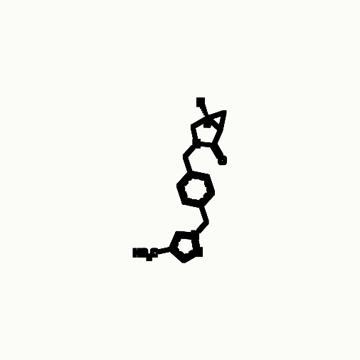 O=C(O)c1cnn(Cc2ccc(CN3C[C@H]4CC4C3=O)cc2)c1